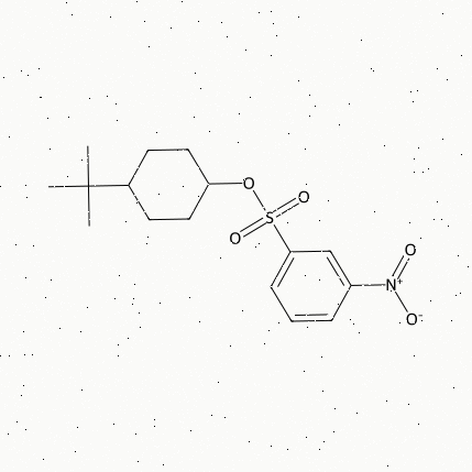 CC(C)(C)C1CCC(OS(=O)(=O)c2cccc([N+](=O)[O-])c2)CC1